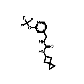 O=C(NCc1ccnc(OC(F)(F)F)c1)NC1CC2(CC2)C1